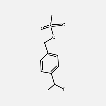 CC(F)c1ccc(COS(C)(=O)=O)cc1